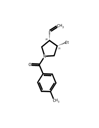 C=C[C@H]1CN(C(=O)c2ccc(C)cc2)C[C@H]1CC